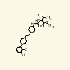 COC(=O)C(NC(=O)N[C@H]1CC[C@H](CCN2CCN(c3cccc(Cl)c3Cl)CC2)CC1)C(C)C